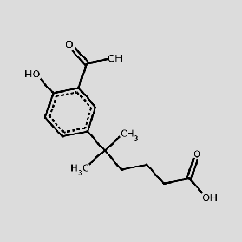 CC(C)(CCCC(=O)O)c1ccc(O)c(C(=O)O)c1